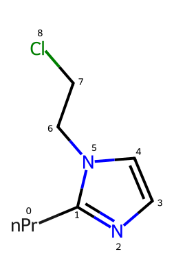 CCCc1nccn1CCCl